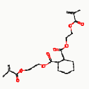 C=C(C)C(=O)OCCOC(=O)C1CCCCC1C(=O)OCCOC(=O)C(=C)C